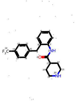 O=C(Nc1ccccc1Cc1ccc(C(F)(F)F)cc1)C1CCNCC1